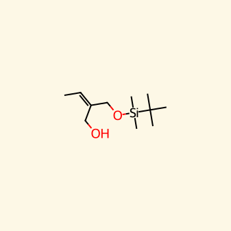 C/C=C(\CO)CO[Si](C)(C)C(C)(C)C